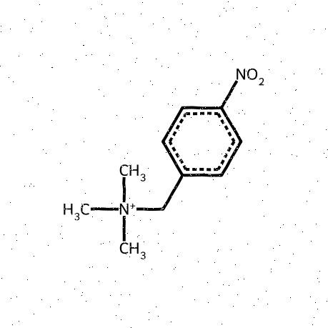 C[N+](C)(C)Cc1ccc([N+](=O)[O-])cc1